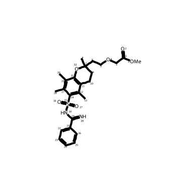 COC(=O)COCCC1(C)CCc2c(C)c(S(=O)(=O)NC(=N)c3ccccc3)c(C)c(C)c2O1